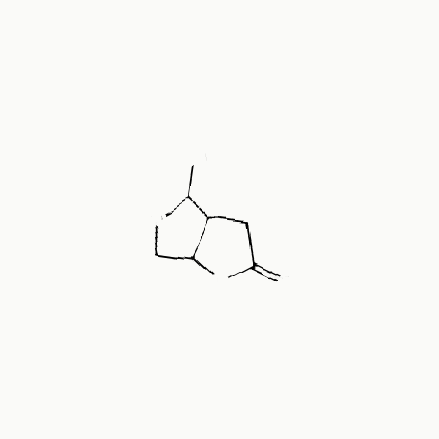 O=C1CC2C(O)OCC2O1